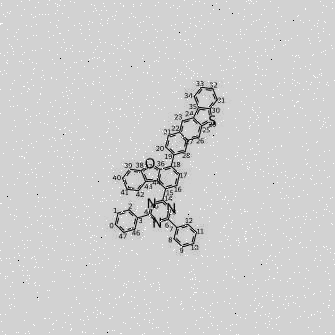 c1ccc(-c2nc(-c3ccccc3)nc(-c3ccc(-c4ccc5cc6c(cc5c4)sc4ccccc46)c4oc5ccccc5c34)n2)cc1